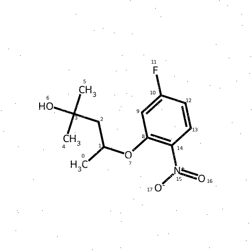 CC(CC(C)(C)O)Oc1cc(F)ccc1[N+](=O)[O-]